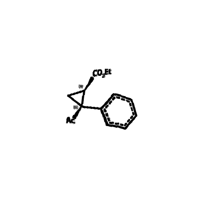 CCOC(=O)[C@@H]1C[C@@]1(C(C)=O)c1ccccc1